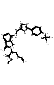 CNC(=O)C(CCC=O)N1Cc2c(OCc3nnc(-c4ccc(OC(F)(F)F)cc4)s3)cccc2C1=O